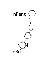 CCCCCC1CCCCC1CCCOc1ccc(-c2cnc(CCCC)cn2)cc1